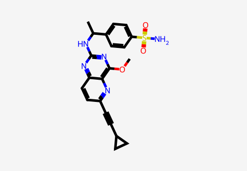 COc1nc(NC(C)c2ccc(S(N)(=O)=O)cc2)nc2ccc(C#CC3CC3)nc12